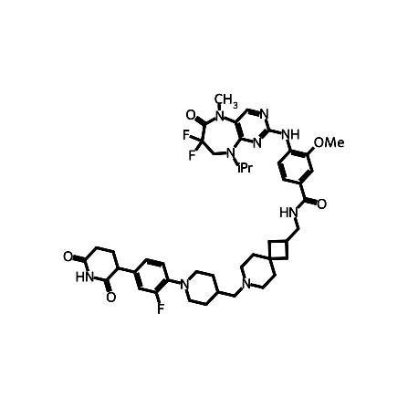 COc1cc(C(=O)NCC2CC3(CCN(CC4CCN(c5ccc(C6CCC(=O)NC6=O)cc5F)CC4)CC3)C2)ccc1Nc1ncc2c(n1)N(C(C)C)CC(F)(F)C(=O)N2C